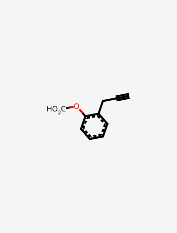 C#CCc1ccccc1OC(=O)O